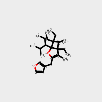 CCC(C(C)C)C1(C(C)(CC)CC)OC(Cc2ccoc2)=C(C)C1(CC)CC